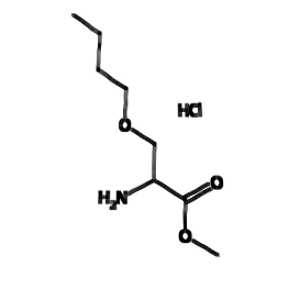 CCCCOCC(N)C(=O)OC.Cl